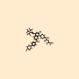 CNC(=O)CC(=O)NC1CCC(n2c(=O)cc(C#C[Si](C(C)C)(C(C)C)C(C)C)c3cnc(Nc4ccc(N5CCN(C)CC5)cc4)nc32)CC1